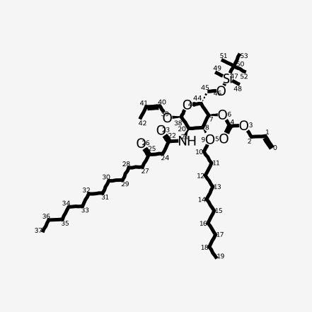 C=CCOC(=O)O[C@H]1[C@H](OCCCCCCCCCC)[C@@H](NC(=O)CC(=O)CCCCCCCCCCC)[C@@H](O/C=C\C)O[C@@H]1CO[Si](C)(C)C(C)(C)C